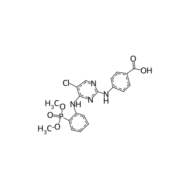 COP(=O)(OC)c1ccccc1Nc1nc(Nc2ccc(C(=O)O)cc2)ncc1Cl